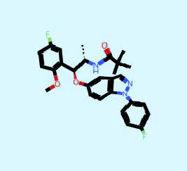 COc1ccc(F)cc1[C@H](Oc1ccc2c(cnn2-c2ccc(F)cc2)c1)[C@H](C)NC(=O)C(C)(C)C